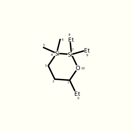 CCC1CC[Si](C)(C)[Si](CC)(CC)O1